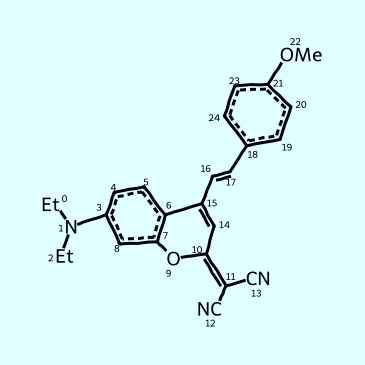 CCN(CC)c1ccc2c(c1)OC(=C(C#N)C#N)C=C2C=Cc1ccc(OC)cc1